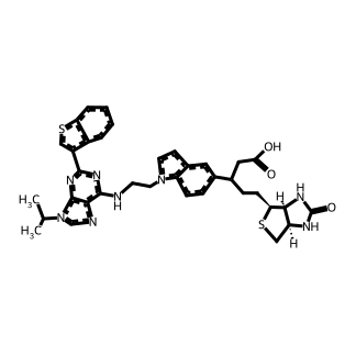 CC(C)n1cnc2c(NCCn3ccc4cc(C(CC[C@@H]5SC[C@@H]6NC(=O)N[C@@H]65)CC(=O)O)ccc43)nc(-c3csc4ccccc34)nc21